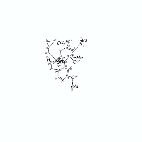 CCCCOC1=C(C(=O)OCC)C[C@@]2(O)[C@H]3Cc4ccc(OCCCC)c5c4[C@@]2(CCN3CC2CC2)[C@H]1O5